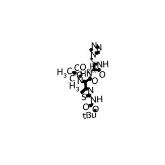 CC(C)(C)OC(=O)Nc1nc(C(=NOC(C)(C)C(=O)O)C(=O)N[C@@H]2C(=O)N[C@H]2Cn2cnnc2)cs1